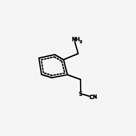 N#CSCc1ccccc1CN